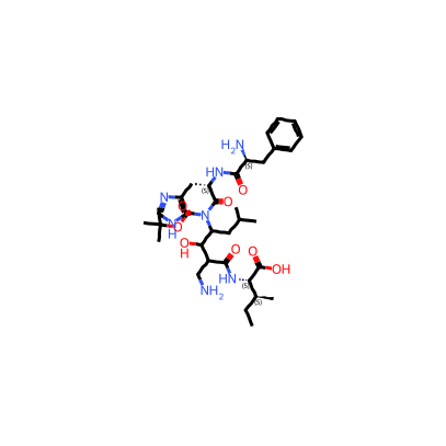 CC[C@H](C)[C@H](NC(=O)C(CN)C(O)C(CC(C)C)N(C(=O)OC(C)(C)C)C(=O)[C@H](Cc1c[nH]cn1)NC(=O)[C@@H](N)Cc1ccccc1)C(=O)O